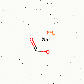 O=C[O-].P.[Na+]